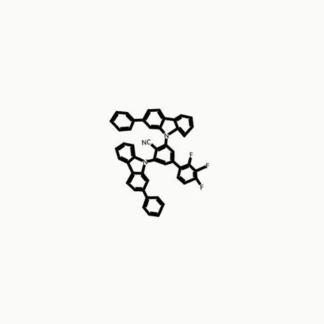 N#Cc1c(-n2c3ccccc3c3ccc(-c4ccccc4)cc32)cc(-c2ccc(F)c(F)c2F)cc1-n1c2ccccc2c2ccc(-c3ccccc3)cc21